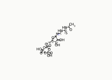 CC(=O)NC(=S)N/C=N/[C@@H]1O[C@H](COP2(=O)OP(=O)(O)OP(=O)(O)O2)C(O)[C@@H]1O